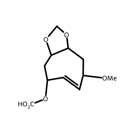 COC1/C=C/C(OC(=O)O)CC2OCOC2C1